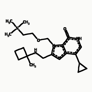 CC1(NCc2cc3c(C4CC4)c[nH]c(=O)c3n2COCC[Si](C)(C)C)CCC1